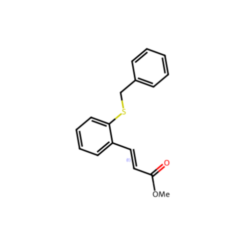 COC(=O)/C=C/c1ccccc1SCc1ccccc1